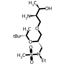 CCN(C[C@@H](COC[C@@H](N)[C@@H](C)O)O[C@@H](C)C(C)(C)C)S(C)(=O)=O